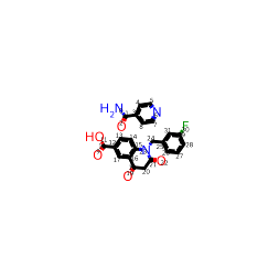 NC(=O)c1ccncc1.O=C(O)c1ccc2c(c1)C(=O)CC(=O)N2Cc1cccc(F)c1